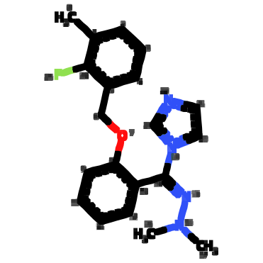 Cc1cccc(COc2ccccc2/C(=N\N(C)C)n2ccnc2)c1F